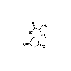 CC(N)C(=O)O.O=C1CCC(=O)O1